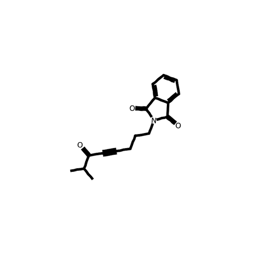 CC(C)C(=O)C#CCCCN1C(=O)c2ccccc2C1=O